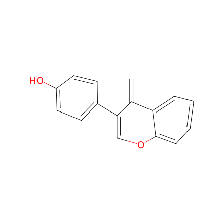 C=C1C(c2ccc(O)cc2)=COc2ccccc21